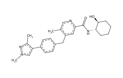 Cc1cnc(C(=O)N[C@H]2CCCC[C@@H]2O)cc1Cc1ccc(-c2cn(C)nc2C)cc1